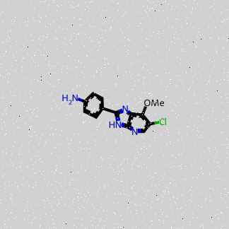 COc1c(Cl)cnc2[nH]c(-c3ccc(N)cc3)nc12